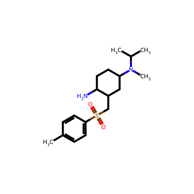 Cc1ccc(S(=O)(=O)CC2CC(N(C)C(C)C)CCC2N)cc1